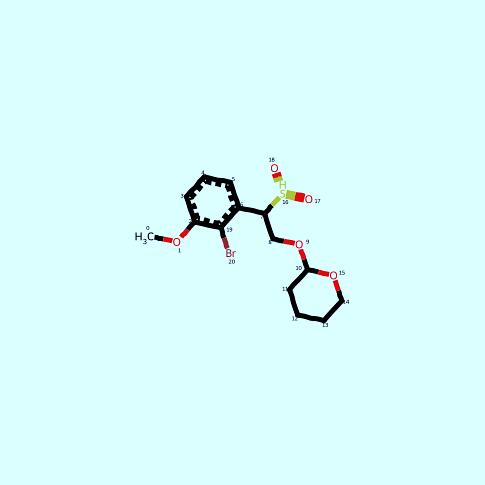 COc1cccc(C(COC2CCCCO2)[SH](=O)=O)c1Br